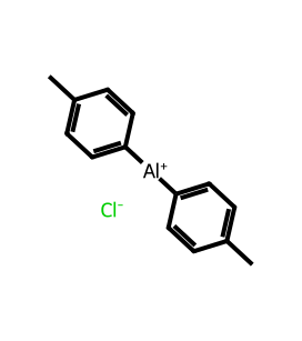 Cc1cc[c]([Al+][c]2ccc(C)cc2)cc1.[Cl-]